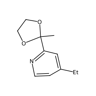 CCc1ccnc(C2(C)OCCO2)c1